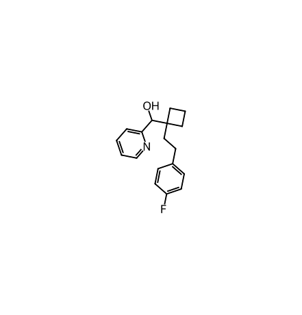 OC(c1ccccn1)C1(CCc2ccc(F)cc2)CCC1